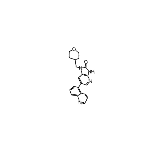 O=c1[nH]c2ncc(-c3cccc4ncccc34)cc2n1CC1CCOCC1